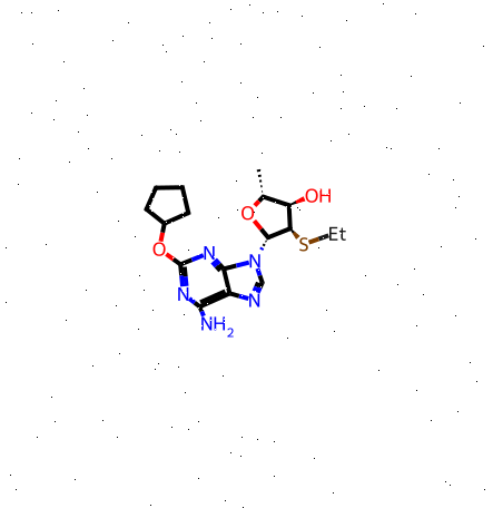 CCS[C@@H]1[C@H](O)[C@@H](C)O[C@H]1n1cnc2c(N)nc(OC3CCCC3)nc21